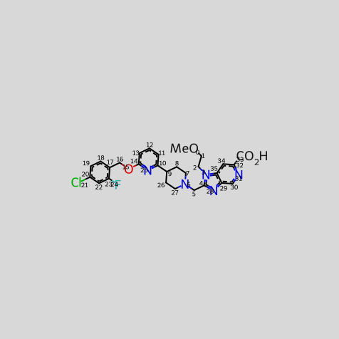 COCCn1c(CN2CCC(c3cccc(OCc4ccc(Cl)cc4F)n3)CC2)nc2cnc(C(=O)O)cc21